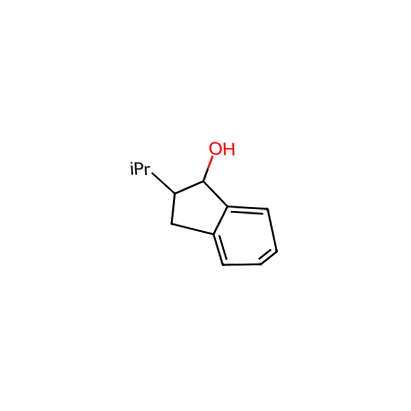 CC(C)C1Cc2ccccc2C1O